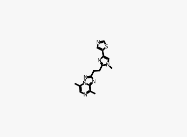 Cc1ncc(C)n2nc(CCc3nc(-c4cncs4)cn3C)nc12